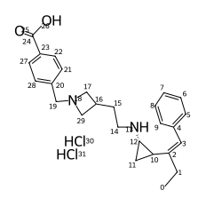 CCC(=Cc1ccccc1)C1C[C@@H]1NCCC1CN(Cc2ccc(C(=O)O)cc2)C1.Cl.Cl